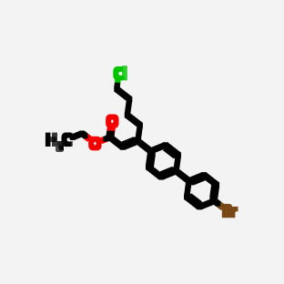 CCOC(=O)C=C(CCCCCl)c1ccc(-c2ccc(Br)cc2)cc1